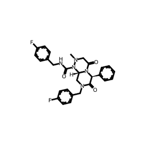 CN1CC(=O)N2[C@@H](c3ccccc3)C(=O)N(Cc3ccc(F)cc3)C[C@@H]2N1C(=O)NCc1ccc(F)cc1